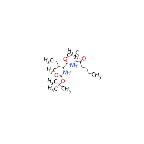 CCCCC(=O)C(NC(=O)C(NC(=O)OC(C)(C)C)C(C)CC)C(C)C